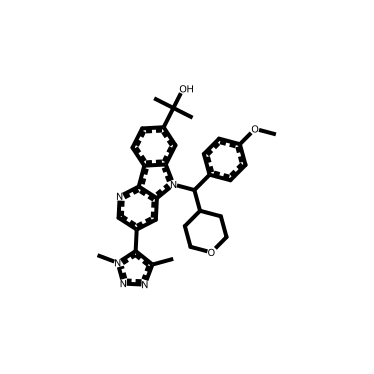 COc1ccc(C(C2CCOCC2)n2c3cc(C(C)(C)O)ccc3c3ncc(-c4c(C)nnn4C)cc32)cc1